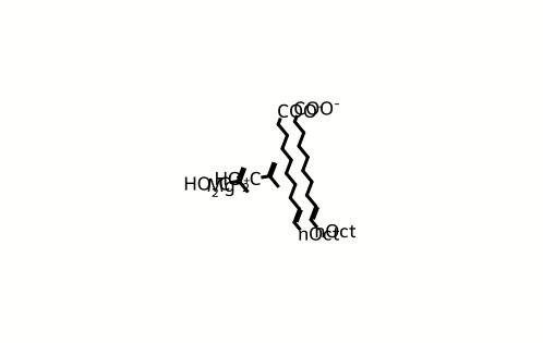 C=C(C)C(=O)O.C=C(C)C(=O)O.CCCCCCCC/C=C/CCCCCCCC(=O)[O-].CCCCCCCC/C=C/CCCCCCCC(=O)[O-].[Mg+2]